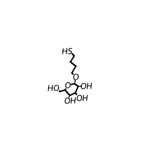 OCC1O[C@@H](OCCCCS)[C@@H](O)C(O)[C@H]1O